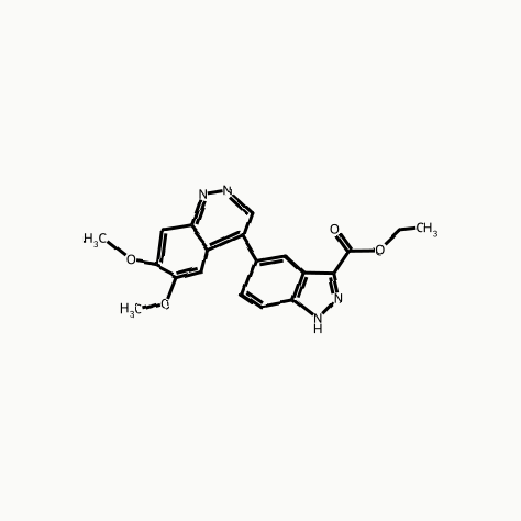 CCOC(=O)c1n[nH]c2ccc(-c3cnnc4cc(OC)c(OC)cc34)cc12